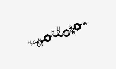 CCCc1ccc(S(=O)(=O)N2CCN(CC(O)CNc3ccc(-c4noc(C)n4)cc3)CC2)cc1